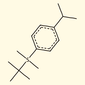 CC(C)c1ccc(S(C)(C)C(C)(C)C)cc1